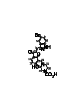 O=C1C(=Cc2n[nH]c3ccc(Br)cc23)Oc2c1ccc(O)c2CN1CCN(C(=O)O)CC1